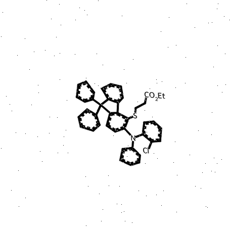 CCOC(=O)CCSc1c(N(c2ccccc2)c2ccccc2Cl)ccc2c1-c1ccccc1C2(c1ccccc1)c1ccccc1